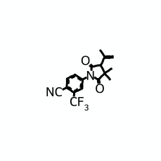 C=C(C)C1C(=O)N(c2ccc(C#N)c(C(F)(F)F)c2)C(=O)C1(C)C